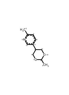 Cc1ccc(C2COC(C)OC2)cn1